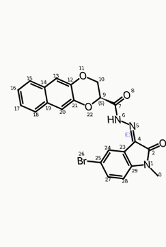 CN1C(=O)/C(=N/NC(=O)[C@@H]2COc3cc4ccccc4cc3O2)c2cc(Br)ccc21